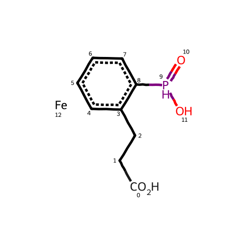 O=C(O)CCc1ccccc1[PH](=O)O.[Fe]